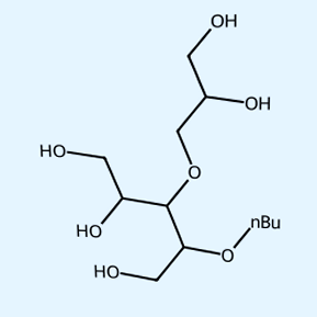 CCCCOC(CO)C(OCC(O)CO)C(O)CO